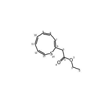 CCOC(=O)Cc1cccccccs1